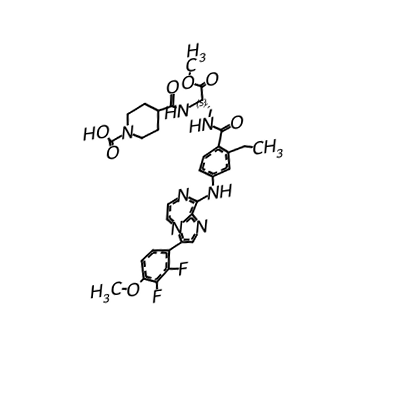 CCc1cc(Nc2nccn3c(-c4ccc(OC)c(F)c4F)cnc23)ccc1C(=O)NC[C@H](NC(=O)C1CCN(C(=O)O)CC1)C(=O)OC